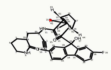 N#C[C@@H](C[C@@H]1CCCNC1=O)NC(=O)[C@H]1[C@@H]2CC[C@@H](CC2(F)F)N1C(=O)C1(O)c2cc(F)ccc2-c2ccc(F)cc21